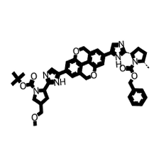 COCC1CC(c2ncc(-c3cc4c5c(c3)OCc3cc(-c6cnc([C@@H]7CC[C@H](C)N7C(=O)OCc7ccccc7)[nH]6)cc(c3-5)OC4)[nH]2)N(C(=O)OC(C)(C)C)C1